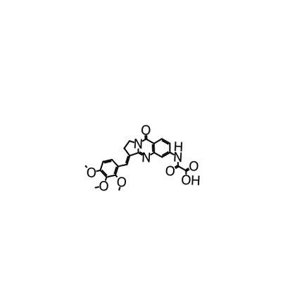 COc1ccc(C=C2CCn3c2nc2cc(NC(=O)C(=O)O)ccc2c3=O)c(OC)c1OC